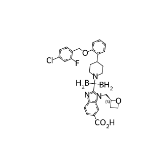 BC(B)(c1nc2ccc(C(=O)O)cc2n1C[C@@H]1CCO1)N1CCC(c2ccccc2OCc2ccc(Cl)cc2F)CC1